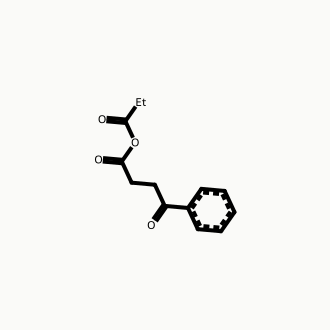 CCC(=O)OC(=O)CCC(=O)c1ccccc1